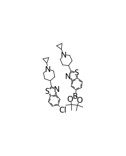 CC1(C)OB(c2ccc3sc(C4CCN(C5CC5)CC4)nc3c2)OC1(C)C.Clc1ccc2sc(C3CCN(C4CC4)CC3)nc2c1